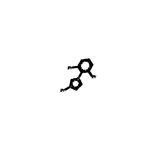 CC(C)c1cccc(C(C)C)c1-n1cc[n+](C(C)C)c1